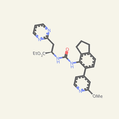 CCOC(=O)[C@@H](Cc1ncccn1)NC(=O)Nc1c(-c2ccnc(OC)c2)ccc2c1CCC2